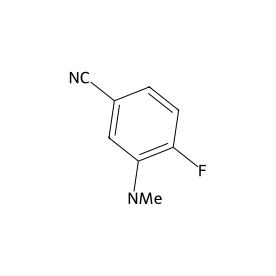 CNc1cc(C#N)ccc1F